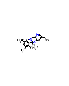 Cc1cc(C)c(C)c(C2(C)N=c3cc(CC(C)C)cnc3=CN2C)c1